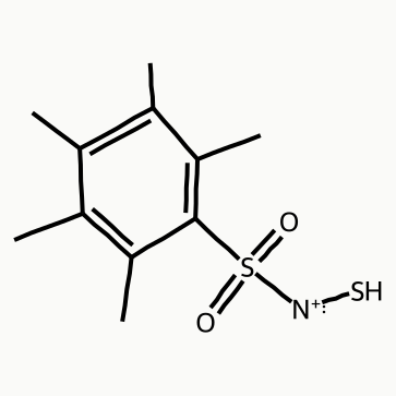 Cc1c(C)c(C)c(S(=O)(=O)[N+]S)c(C)c1C